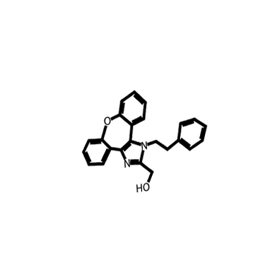 OCc1nc2c(n1CCc1ccccc1)-c1ccccc1Oc1ccccc1-2